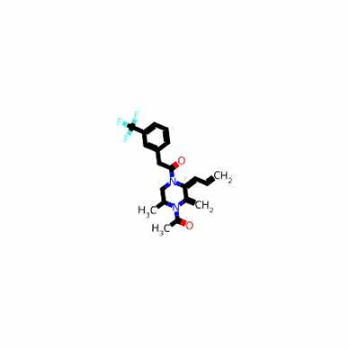 C=C/C=C1\C(=C)N(C(C)=O)C(C)CN1C(=O)Cc1cccc(C(F)(F)F)c1